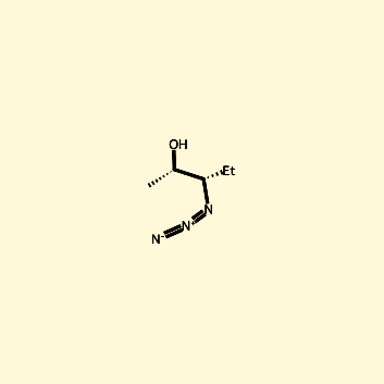 CC[C@H](N=[N+]=[N-])[C@H](C)O